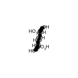 O=C(Nc1ccc(C(=O)Nc2cc3cc(O)ccc3cc2S(=O)(=O)O)cc1)C(=O)Nc1ccc(C(=O)Nc2cc3cc(O)ccc3cc2S(=O)(=O)O)cc1